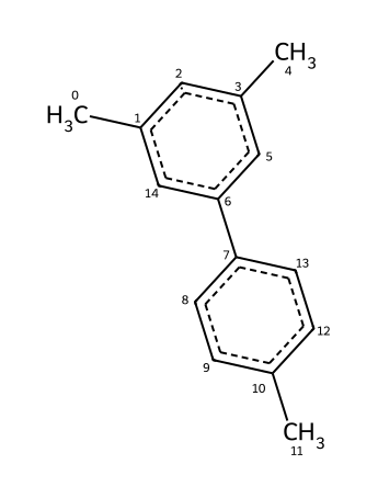 Cc1[c]c(C)cc(-c2ccc(C)cc2)c1